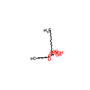 C#CC#CC#CC#CC(=O)OC[C@H](COP(=O)(O)O)OC(=O)CCCCCCCCCCCCCCC